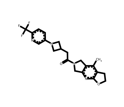 Cc1c2c(nc3c1CCO3)CN(C(=O)CC1CN(c3ccc(C(F)(F)F)nc3)C1)C2